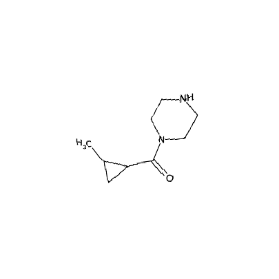 CC1CC1C(=O)N1CCNCC1